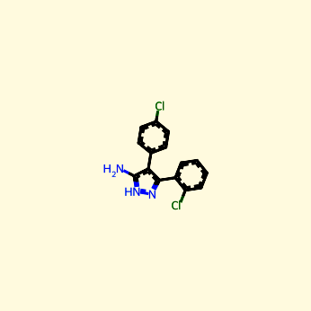 Nc1[nH]nc(-c2ccccc2Cl)c1-c1ccc(Cl)cc1